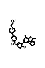 CC1=Nc2c(C)cc(-c3nc(Nc4ccc(C5CCN(CCO)CC5)cn4)ncc3F)cc2C12CCCC2